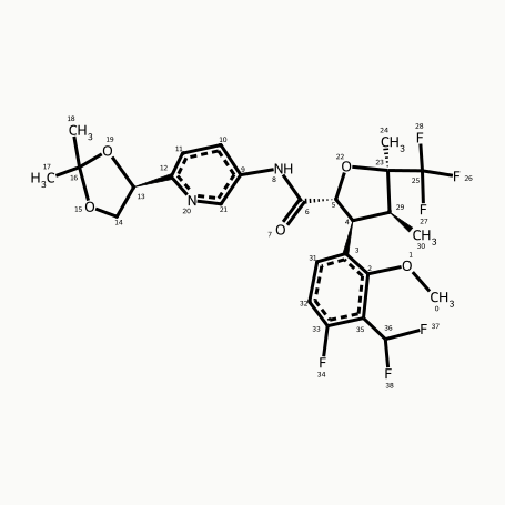 COc1c([C@H]2[C@H](C(=O)Nc3ccc([C@H]4COC(C)(C)O4)nc3)O[C@@](C)(C(F)(F)F)[C@H]2C)ccc(F)c1C(F)F